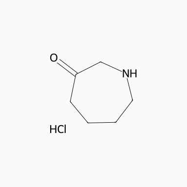 Cl.O=C1CCCCNC1